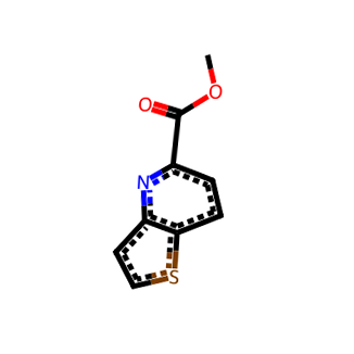 COC(=O)c1ccc2sccc2n1